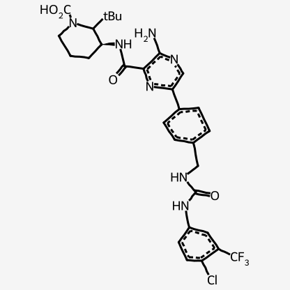 CC(C)(C)C1[C@@H](NC(=O)c2nc(-c3ccc(CNC(=O)Nc4ccc(Cl)c(C(F)(F)F)c4)cc3)cnc2N)CCCN1C(=O)O